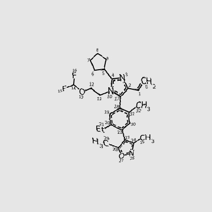 C=Cc1nc(C2CCCC2)n(CCOC(F)F)c1-c1cc(CC)c(-c2c(C)noc2C)cc1C